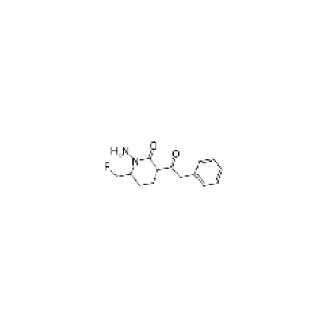 NN1C(=O)C(C(=O)Cc2ccccc2)CCC1CF